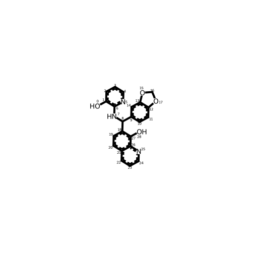 Oc1cccnc1NC(c1ccc2c(c1)OCO2)c1ccc2cccnc2c1O